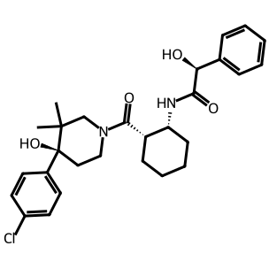 CC1(C)CN(C(=O)[C@H]2CCCC[C@H]2NC(=O)[C@@H](O)c2ccccc2)CC[C@]1(O)c1ccc(Cl)cc1